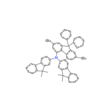 CC(C)(C)c1ccc2c(c1)C(c1ccccc1)(c1ccccc1)c1cc(C(C)(C)C)cc(N(c3ccc4c(c3)C(C)(C)c3ccccc3-4)c3ccc4c(c3)C(C)(C)c3ccccc3-4)c1-2